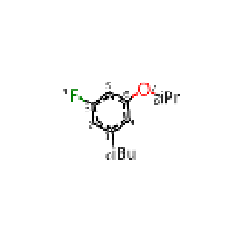 CCC(C)c1cc(F)cc(OC(C)C)c1